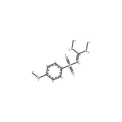 COc1ccc(S(=O)(=O)N=C(SC)SC)cc1